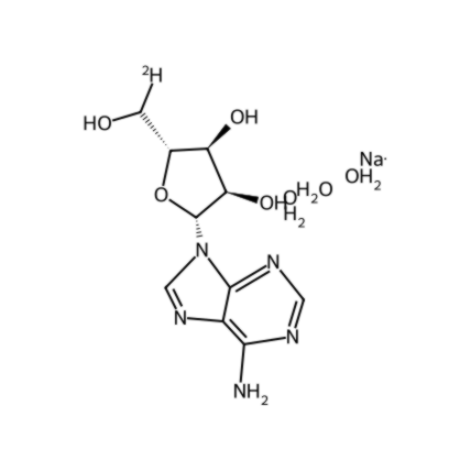 O.O.O.[2H]C(O)[C@H]1O[C@@H](n2cnc3c(N)ncnc32)[C@H](O)[C@@H]1O.[Na]